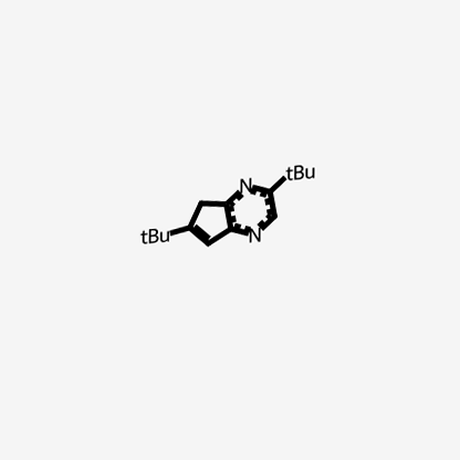 CC(C)(C)C1=Cc2ncc(C(C)(C)C)nc2C1